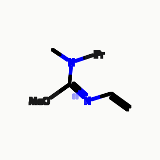 C=C/N=C(/OC)N(C)C(C)C